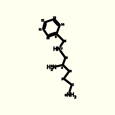 NCCCC(N)CNCc1ccccc1